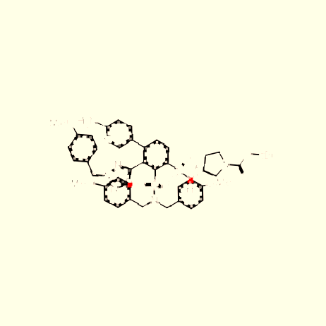 COc1ccc(CN(Cc2ccc(OC)cc2)S(=O)(=O)c2c(S(=O)(=O)N[C@@H]3CCN(C(=O)OC(C)(C)C)C3)ccc(-c3ccc(N)nc3)c2-c2nnn(Cc3ccc(OC)cc3)n2)cc1